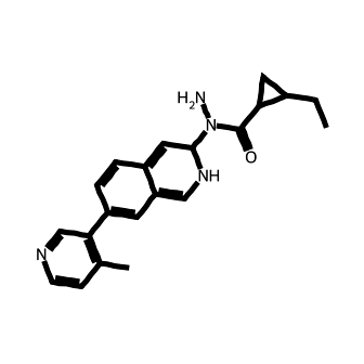 CCC1CC1C(=O)N(N)C1C=c2ccc(-c3cnccc3C)cc2=CN1